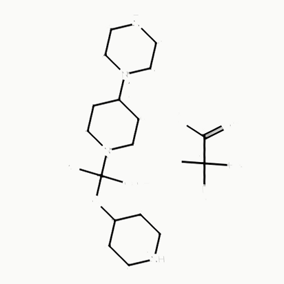 CC(=O)C(OC1CCNCC1)(C(=O)O)N1CCC(N2CCNCC2)CC1.O=C(O)C(F)(F)F